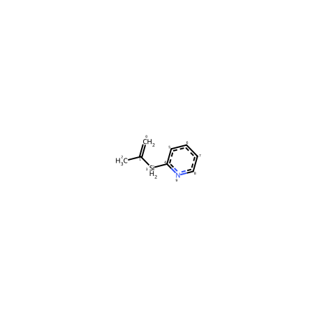 C=C(C)[SiH2]c1ccccn1